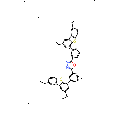 CCc1ccc2sc3c(-c4cccc(-c5nnc(-c6cccc(-c7cc(CC)cc8c7sc7ccc(CC)cc78)c6)o5)c4)cc(CC)cc3c2c1